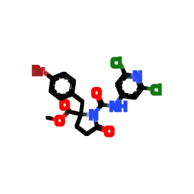 COC(=O)C1(Cc2ccc(Br)cc2)CCC(=O)N1C(=O)Nc1cc(Cl)nc(Cl)c1